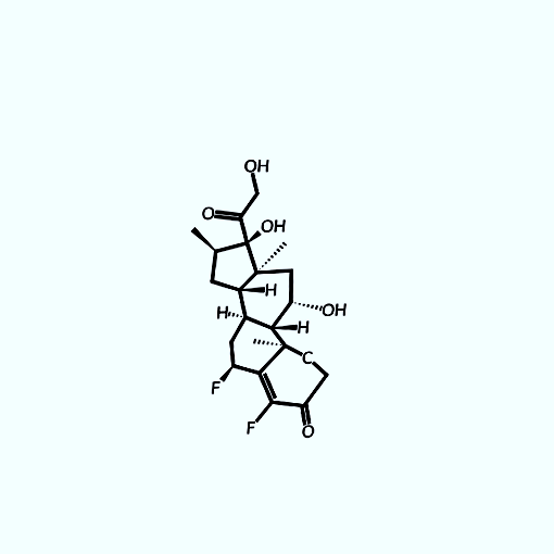 C[C@@H]1C[C@H]2[C@@H]3C[C@H](F)C4=C(F)C(=O)CC[C@]4(C)[C@H]3[C@@H](O)C[C@]2(C)[C@@]1(O)C(=O)CO